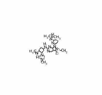 C=CCn1c(=O)c2cnc(Nc3ccc4c(c3)N3CCN(C)C[C@H]3CN4C)nc2n1-c1cccc(N=S(C)(C)=O)n1